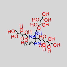 CNCC(CNCOC(O)C(O)C(O)C(O)CO)(CNC(=O)C(O)C(O)C(O)C(O)CO)CC(NO)C(O)C(O)C(O)C(O)CO